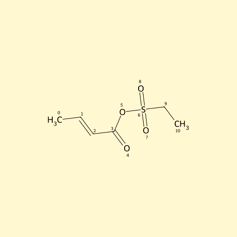 CC=CC(=O)OS(=O)(=O)CC